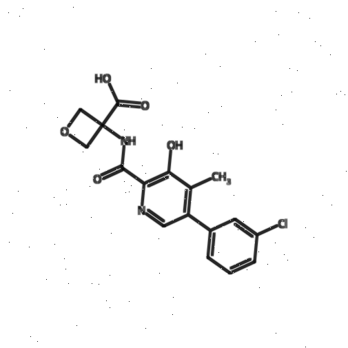 Cc1c(-c2cccc(Cl)c2)cnc(C(=O)NC2(C(=O)O)COC2)c1O